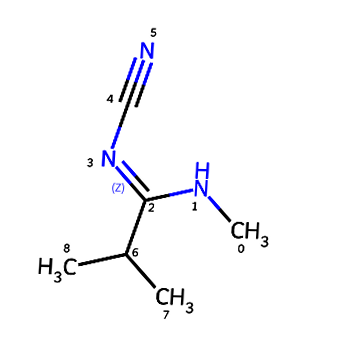 CN/C(=N\C#N)C(C)C